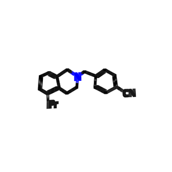 CC(C)c1cccc2c1CCN(Cc1ccc(C#N)cc1)C2